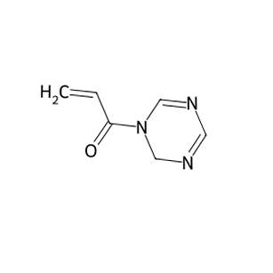 C=CC(=O)N1C=NC=NC1